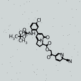 CC(C)(C)OC(=O)Nc1ccc(Cl)cc1-c1cc2n(c(=O)c1)C(C(=O)OCC(=O)c1ccc(C#N)nc1)CC2